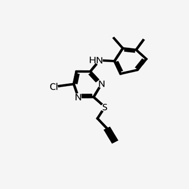 C#CCSc1nc(Cl)cc(Nc2cccc(C)c2C)n1